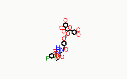 CCOC(=O)C(CNC(=O)c1ccc(OCCOc2c(-c3ccc(OC)c(OC)c3)oc3cc(OC)cc(OC)c3c2=O)cc1)NS(=O)(=O)c1ccc(F)cc1F